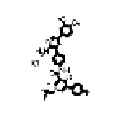 COc1ccc(-c2cnc(N)c(-c3ccc(NC(=O)c4cn(CC(F)(F)F)cc(-c5ccc(F)cc5)c4=O)cc3)c2)cc1OC.Cl